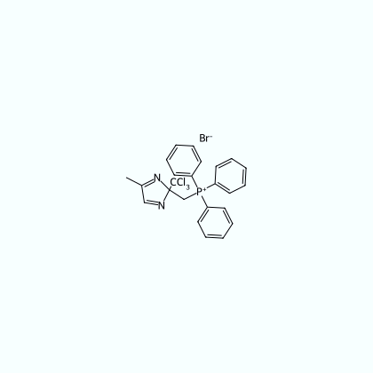 CC1=NC(C[P+](c2ccccc2)(c2ccccc2)c2ccccc2)(C(Cl)(Cl)Cl)N=C1.[Br-]